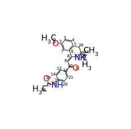 COc1ccc2c(c1)/C(=C/C(=O)c1ccc(NC(C)=O)cc1)NC(C)(C)C2